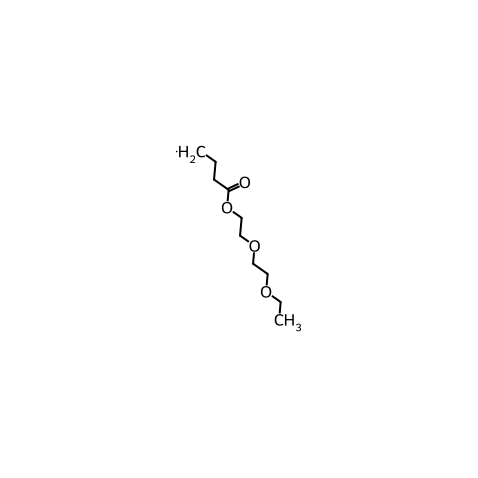 [CH2]CCC(=O)OCCOCCOCC